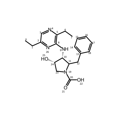 CCc1cnc(CC)c(N[C@@H]2C(Cc3ccccc3)N(C(=O)O)C[C@@H]2O)n1